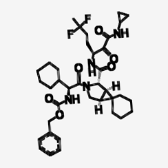 CC(F)(F)CC[C@H](NC(=O)[C@@H]1[C@@H]2[C@H](CN1C(=O)[C@@H](NC(=O)OCc1ccccc1)C1CCCCC1)C21CCCCC1)C(=O)C(=O)NC1CC1